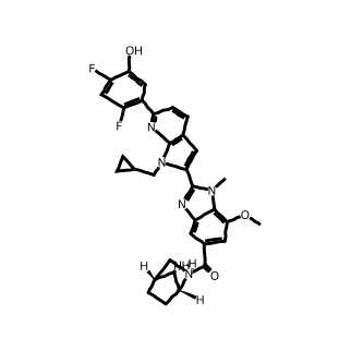 COc1cc(C(=O)N2C[C@H]3CC[C@@H]2[C@@H]3N)cc2nc(-c3cc4ccc(-c5cc(O)c(F)cc5F)nc4n3CC3CC3)n(C)c12